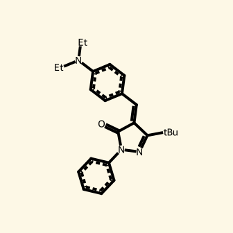 CCN(CC)c1ccc(/C=C2\C(=O)N(c3ccccc3)N=C2C(C)(C)C)cc1